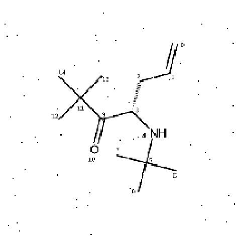 C=CC[C@H](NC(C)(C)C)C(=O)C(C)(C)C